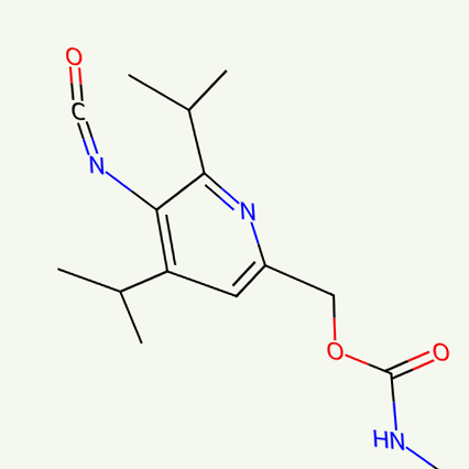 CNC(=O)OCc1cc(C(C)C)c(N=C=O)c(C(C)C)n1